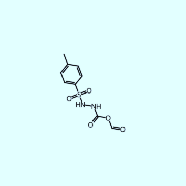 Cc1ccc(S(=O)(=O)NNC(=O)OC=O)cc1